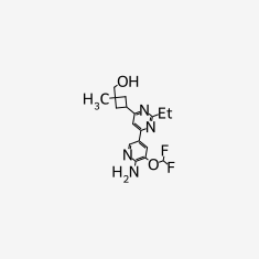 CCc1nc(-c2cnc(N)c(OC(F)F)c2)cc(C2CC(C)(CO)C2)n1